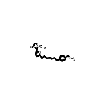 CCc1ccc(CCCCCC=Cc2ccc(C3NCCN3C)o2)cc1